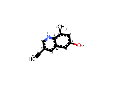 C#Cc1cnc2c(C)cc([O])cc2c1